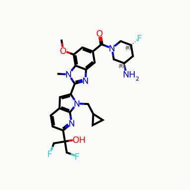 COc1cc(C(=O)N2C[C@H](N)C[C@@H](F)C2)cc2nc(-c3cc4ccc(C(O)(CF)CF)nc4n3CC3CC3)n(C)c12